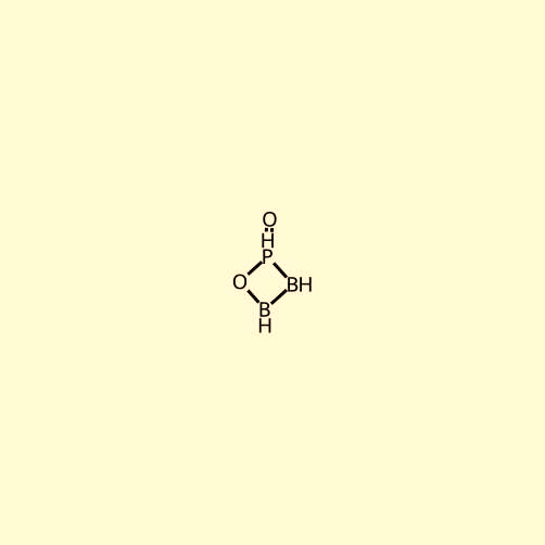 O=[PH]1BBO1